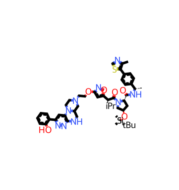 Cc1ncsc1-c1ccc([C@H](C)NC(=O)[C@@H]2C[C@@H](O[Si](C)(C)C(C)(C)C)CN2C(=O)[C@@H](c2cc(OCCN3CCN4c5cc(-c6ccccc6O)nnc5NCC4C3)no2)C(C)C)cc1